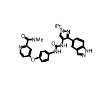 CNC(=O)c1cc(Oc2ccc(NC(=O)Nc3cn(C(C)C)nc3-c3ccc4[nH]ncc4c3)cc2)ccn1